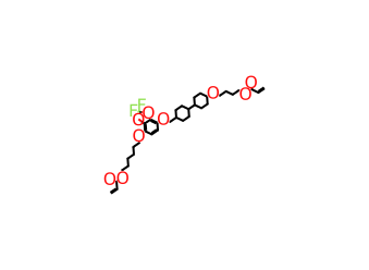 C=CC(=O)OCCCCCCOc1ccc(OCC2CCC(C3CCC(OCCCCOC(=O)C=C)CC3)CC2)c2c1OC(F)(F)O2